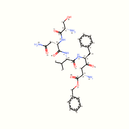 CC(C)[C@H](NC(=O)[C@H](CC(N)=O)NC(=O)[C@@H](N)CO)C(=O)N[C@@H](Cc1ccccc1)C(=O)C[C@H](N)C(=O)OCc1ccccc1